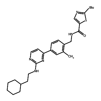 Cc1cc(-c2ccnc(NCCC3CCCCC3)n2)ccc1CNC(=O)c1cnc(C(C)(C)C)s1